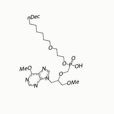 CCCCCCCCCCCCCCCCOCCCOP(=O)(O)COC(COC)Cn1cnc2c(OC)ncnc21